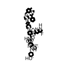 COc1cc(CN2CCN(C3CC4(CCN(c5ccc(C(=O)NS(=O)(=O)c6cnc(NC[C@H]7CC[C@](C)(O)CC7)c([NH+](C)[O-])c6)c(Oc6cc7c(F)c[nH]c7nc6OC)c5)CC4)C3)[C@H](c3ccccc3C(C)C)C2)ccc1C